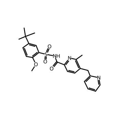 COc1ccc(C(C)(C)C)cc1S(=O)(=O)NC(=O)c1ccc(Cc2ccccn2)c(C)n1